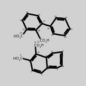 O=C(O)c1ccc2ccccc2c1C(=O)O.O=C(O)c1cccc(-c2ccccc2)c1C(=O)O